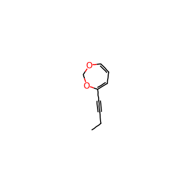 CCC#CC1=CC=COCO1